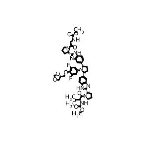 COC(=O)NCC(=O)N1CCC[C@H]1c1nc2cc([C@H]3CC[C@H](c4ccc5[nH]c([C@@H]6CCCN6C(=O)C(NC(=O)OC)C(C)C)nc5c4)N3c3cc(F)c(OCC4COCO4)c(F)c3)ccc2[nH]1